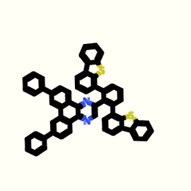 c1ccc(-c2ccc3c(c2)c2cc(-c4ccccc4)ccc2c2nc(-c4c(-c5cccc6c5sc5ccccc56)cccc4-c4cccc5c4sc4ccccc45)cnc32)cc1